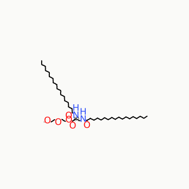 CCCCCCCCCCCCCCCCCC(=O)NC[C@H](NC(=O)CCCCCCCCCCCCCCCCC)C(=O)OCCOCCOC